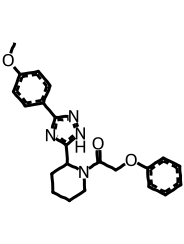 COc1ccc(-c2n[nH]c(C3CCCCN3C(=O)COc3ccccc3)n2)cc1